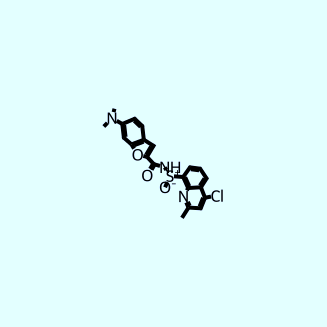 Cc1cc(Cl)c2cccc([S+]([O-])NC(=O)c3cc4ccc(N(C)C)cc4o3)c2n1